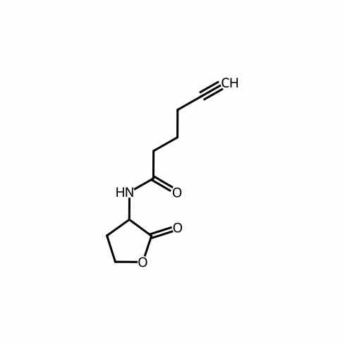 C#CCCCC(=O)NC1CCOC1=O